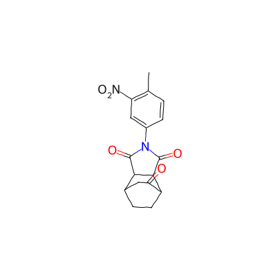 Cc1ccc(N2C(=O)C3C4CCC(C(=O)C4)C3C2=O)cc1[N+](=O)[O-]